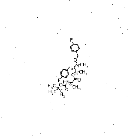 C[C@H](NC(=O)OC(C)(C)C)C(=O)O[C@@H](C)[C@H](Cc1ccc(F)cc1)[C@H](C)OCc1ccc(F)cc1